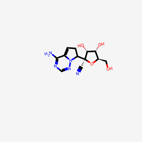 N#C[C@@]1(C2CC=C3C(N)=NC=NN32)O[C@H](CO)[C@@H](O)[C@H]1O